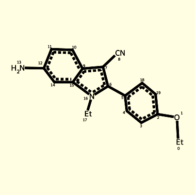 CCOc1ccc(-c2c(C#N)c3ccc(N)cc3n2CC)cc1